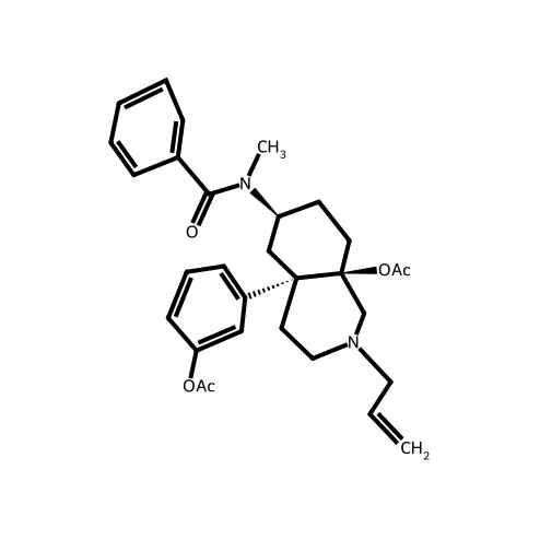 C=CCN1CC[C@@]2(c3cccc(OC(C)=O)c3)C[C@@H](N(C)C(=O)c3ccccc3)CC[C@]2(OC(C)=O)C1